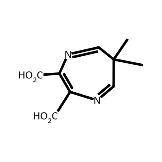 CC1(C)C=NC(C(=O)O)=C(C(=O)O)N=C1